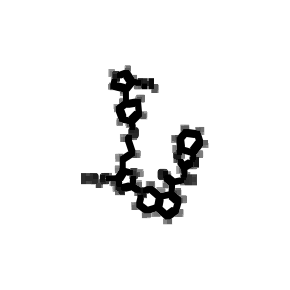 Nc1cscc1-c1ccc(OCCCc2sc(N3CCc4cccc(C(=O)Nc5nc6ccccc6s5)c4C3)nc2C(=O)O)cc1